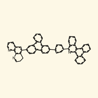 C1=Nc2c(c(-c3ccc4c5ccc(-c6ccc(-c7nc8c9ccccc9c9ccccc9c8c8ccccc78)cc6)cc5c5ccccc5c4c3)cc3cccnc23)CC1